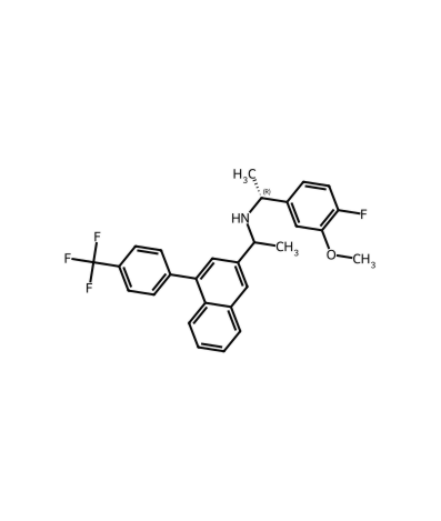 COc1cc([C@@H](C)NC(C)c2cc(-c3ccc(C(F)(F)F)cc3)c3ccccc3c2)ccc1F